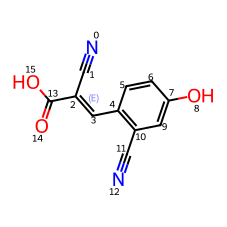 N#C/C(=C\c1ccc(O)cc1C#N)C(=O)O